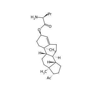 CC(=O)[C@H]1CC[C@H]2[C@@H]3CCC4=C[C@H](OC(=O)[C@@H](N)C(C)C)CC[C@]4(C)[C@H]3CC[C@]12C